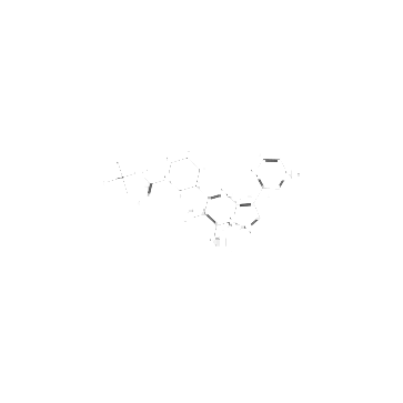 CC(C)(C)OC(=O)N1CCCC(c2nc3c(-c4cnccn4)cnn3c(N)c2Br)C1